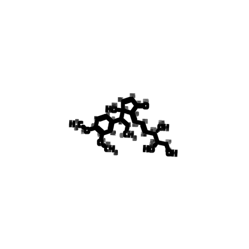 CCC(c1ccc(OC)c(OC)c1)C1(O)C=CC(=O)C1=CC=C[C@H](O)[C@H](O)CO